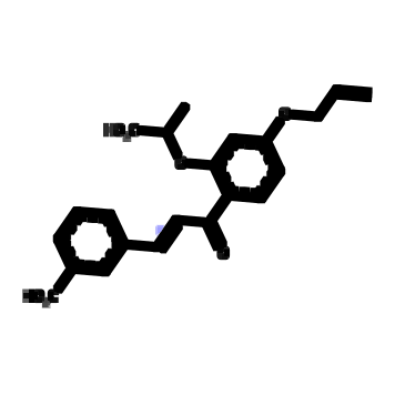 C=CCOc1ccc(C(=O)/C=C/c2cccc(C(=O)O)c2)c(OC(C)C(=O)O)c1